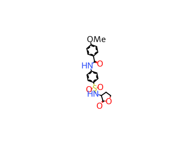 COc1ccc(C(=O)Nc2ccc(S(=O)(=O)NC3CCOC3=O)cc2)cc1